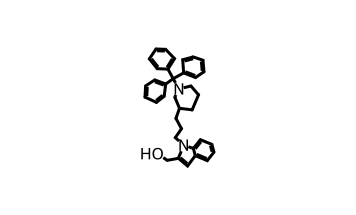 OCc1cc2ccccc2n1CCCC1CCCN(C(c2ccccc2)(c2ccccc2)c2ccccc2)C1